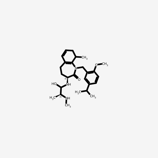 CN[C@@H](C)C(O)N[C@H]1CCC2=C(C(C)CC=C2)N(Cc2cc(C(C)C)ccc2OC)C1=O